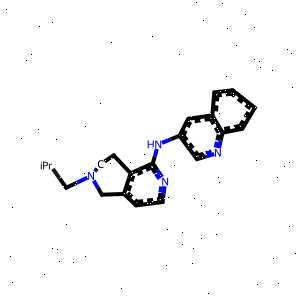 CC(C)CN1CCc2c(ccnc2Nc2cnc3ccccc3c2)C1